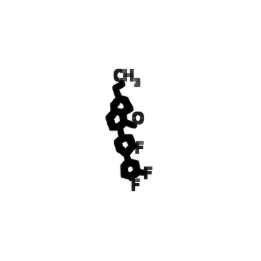 CCCc1ccc2c(C=O)c(-c3ccc(-c4ccc(F)c(F)c4)c(F)c3)ccc2c1